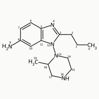 CCCc1nc2ccc(N)cc2n1N1CCNCC1C